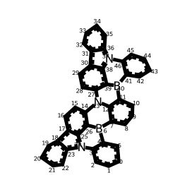 c1ccc2c(c1)B1c3cccc4c3N(c3ccc5c6ccccc6n-2c5c31)c1ccc2c3ccccc3n3c2c1B4c1ccccc1-3